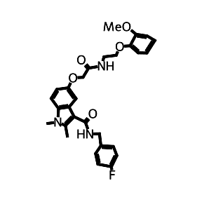 COc1ccccc1OCCNC(=O)COc1ccc2c(c1)c(C(=O)NCc1ccc(F)cc1)c(C)n2C